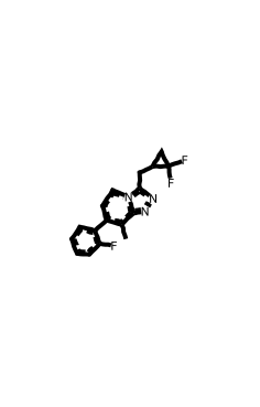 Cc1c(-c2ccccc2F)ccn2c(CC3CC3(F)F)nnc12